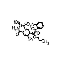 C=CCON(C1CN(C(=O)OC(C)(C)C)C(C(N)=O)C=C1C(C)C)S(=O)(=O)c1ccccc1[N+](=O)[O-]